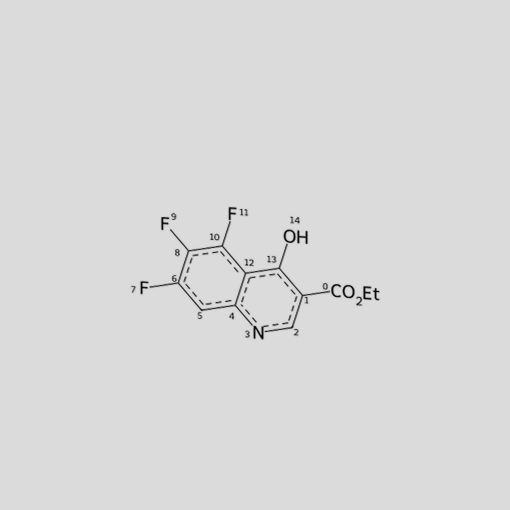 CCOC(=O)c1cnc2cc(F)c(F)c(F)c2c1O